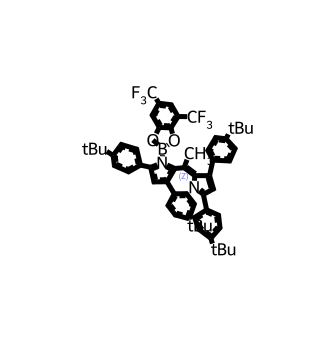 C/C(=C1/N=C(c2ccc(C(C)(C)C)cc2)C=C1c1ccc(C(C)(C)C)cc1)c1c(-c2ccc(C(C)(C)C)cc2)cc(-c2ccc(C(C)(C)C)cc2)n1B1Oc2cc(C(F)(F)F)cc(C(F)(F)F)c2O1